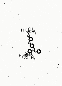 Cc1c(NS(C)(=O)=O)cccc1N(Cc1ccccc1)Cc1ccc(Oc2cccc(OCCC(C)(C)C)c2)cc1